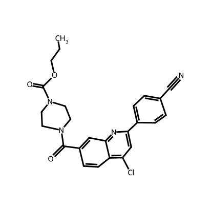 CCCOC(=O)N1CCN(C(=O)c2ccc3c(Cl)cc(-c4ccc(C#N)cc4)nc3c2)CC1